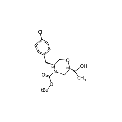 CC(O)[C@H]1CN(C(=O)OC(C)(C)C)[C@@H](Cc2ccc(Cl)cc2)CO1